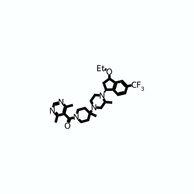 CCOC1C[C@H](N2CCN(C3(C)CCN(C(=O)c4c(C)ncnc4C)CC3)CC2C)c2ccc(C(F)(F)F)cc21